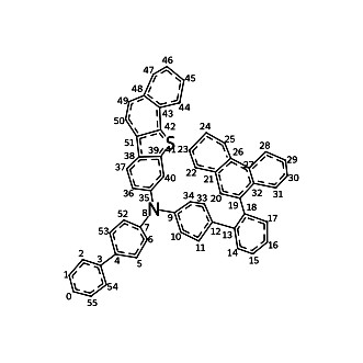 c1ccc(-c2ccc(N(c3ccc(-c4ccccc4-c4cc5ccccc5c5ccccc45)cc3)c3ccc4c(c3)sc3c5ccccc5ccc43)cc2)cc1